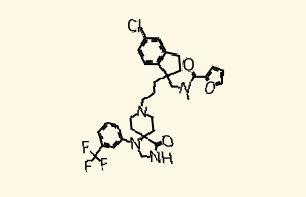 CN(CC1(CCCN2CCC3(CC2)C(=O)NCN3c2cccc(C(F)(F)F)c2)CCc2cc(Cl)ccc21)C(=O)c1ccco1